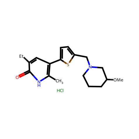 CCc1cc(-c2ccc(CN3CCCC(OC)C3)s2)c(C)[nH]c1=O.Cl